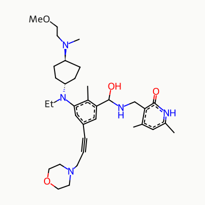 CCN(c1cc(C#CCN2CCOCC2)cc(C(O)NCc2c(C)cc(C)[nH]c2=O)c1C)[C@H]1CC[C@H](N(C)CCOC)CC1